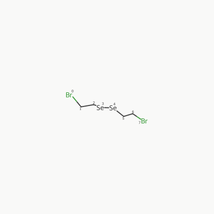 BrCC[Se][Se]CCBr